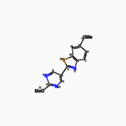 COc1ccc2nc(-c3cnc(OC)nc3)sc2c1